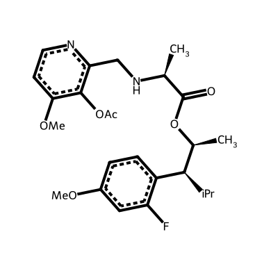 COc1ccc([C@H](C(C)C)[C@H](C)OC(=O)[C@H](C)NCc2nccc(OC)c2OC(C)=O)c(F)c1